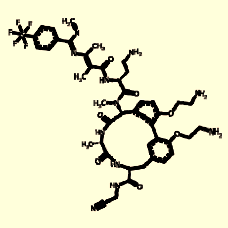 C=N/C(=N\C(C)=C(/C)C(=O)N[C@@H](CCN)C(=O)N(C)[C@@H]1C(=O)N[C@@H](C)C(=O)N[C@H](C(=O)NCC#N)Cc2ccc(OCCN)c(c2)-c2cc1ccc2OCCN)c1ccc(S(F)(F)(F)(F)F)cc1